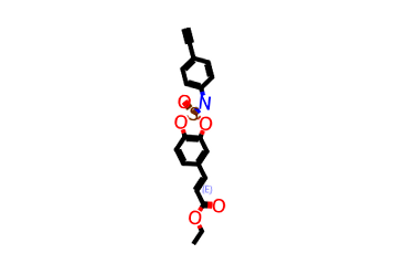 C#Cc1ccc(N=S2(=O)Oc3ccc(/C=C/C(=O)OCC)cc3O2)cc1